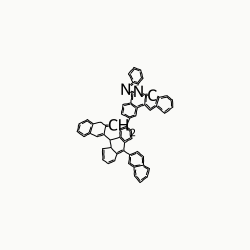 C=C1Cc2ccccc2C=C1C1c2cc(-c3ccc4c(c3)c3cc5ccccc5cc3n3c5ccccc5nc43)ccc2C(c2ccc3ccccc3c2)=C2C=CC=CC21